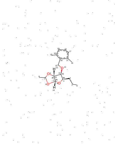 CCC[C@H]1O[C@@H]2OC(C)O[C@@H]2[C@H]1OCc1c(C)cccc1C